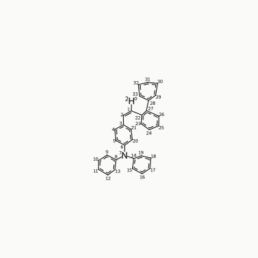 [2H]C(=Cc1ccc(N(c2ccccc2)c2ccccc2)cc1)c1ccccc1-c1ccccc1